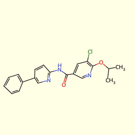 CC(C)Oc1ncc(C(=O)Nc2ccc(-c3ccccc3)cn2)cc1Cl